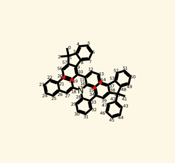 CC1(C)c2ccccc2-c2c(-c3ccccc3N(c3ccc4ccccc4c3)c3ccccc3-c3ccc4c(c3)C(C)(c3ccccc3)c3ccccc3-4)cccc21